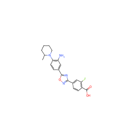 CC1CCCCN1c1ccc(-c2nc(-c3ccc(C(=O)O)c(F)c3)no2)cc1N